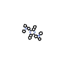 c1ccc(-n2c3ccccc3c3ccc(/C4=N/c5cc6ccccc6cc5/C(c5ccc6c7ccccc7n(-c7ccccc7)c6c5)=N\c5cc6ccccc6cc54)cc32)cc1